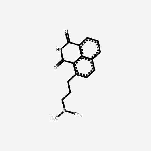 CN(C)CCCc1ccc2cccc3c2c1C(=O)NC3=O